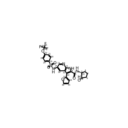 O=C(N[C@H]1CCC[C@H]1O)c1[nH]c2ncc(NS(=O)(=O)c3ccc(OC(F)(F)F)cc3)cc2c1-c1ccco1